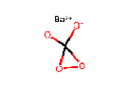 [Ba+2].[O-]C1([O-])OO1